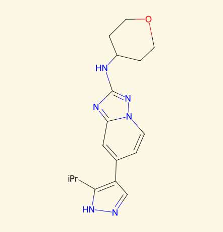 CC(C)c1[nH]ncc1-c1ccn2nc(NC3CCOCC3)nc2c1